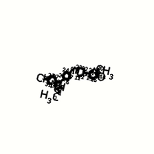 CCON=C(c1ccc(CN2CCC(c3ccc(=O)n(C)c3)CC2)cc1)c1ccc(Cl)cn1